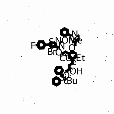 CCOC(=O)[C@@H](Cc1cc(CC[C@@H](O)CO[Si](c2ccccc2)(c2ccccc2)C(C)(C)C)ccc1OCc1ccnc(-c2ccccc2OC)n1)Oc1ncnc2sc(-c3ccc(F)cc3)c(Br)c12